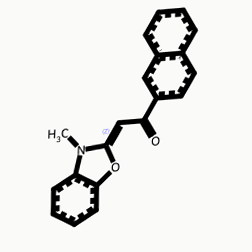 CN1/C(=C/C(=O)c2ccc3ccccc3c2)Oc2ccccc21